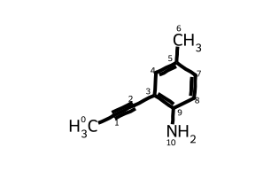 CC#Cc1cc(C)ccc1N